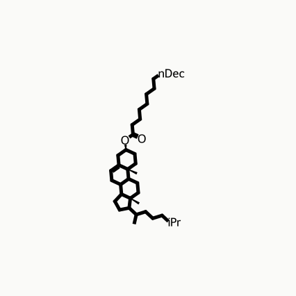 CCCCCCCCCCCCCCCCCC(=O)O[C@H]1CC[C@@]2(C)C(=CCC3C4CCC(C(C)CCCC(C)C)[C@@]4(C)CCC32)C1